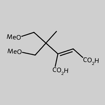 COCC(C)(COC)/C(=C/C(=O)O)C(=O)O